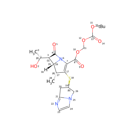 C[C@@H](O)[C@H]1C(=O)N2C(C(=O)OCOC(=O)OC(C)(C)C)=C(S[C@@H]3Cc4nccn4C3)[C@H](C)[C@H]12